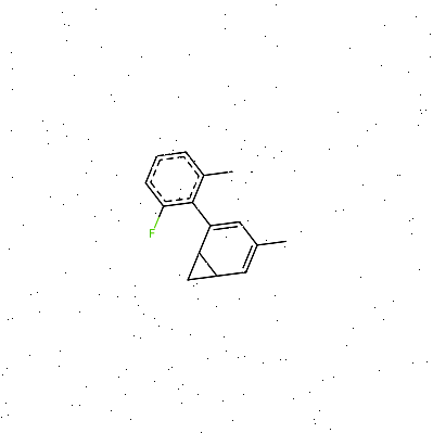 CC1=CC2CC2C(c2c(C)cccc2F)=C1